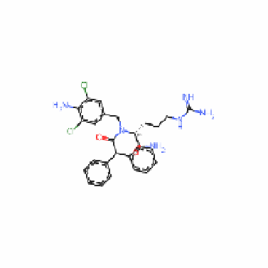 N=C(N)NCCC[C@H](C(N)=O)N(Cc1cc(Cl)c(N)c(Cl)c1)C(=O)C(c1ccccc1)c1ccccc1